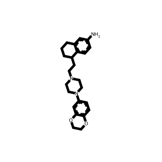 Nc1ccc2c(c1)CCCC2CCN1CCN(c2ccc3c(c2)OCCO3)CC1